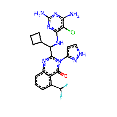 Nc1nc(N)c(Cl)c(NC(c2nc3cccc(C(F)F)c3c(=O)n2-c2cc[nH]n2)C2CCC2)n1